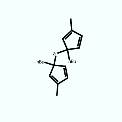 CCCC[C]1([Zr][C]2(CCCC)C=CC(C)=C2)C=CC(C)=C1